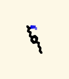 CCCCCc1ccc(CCCC(C)N)cc1